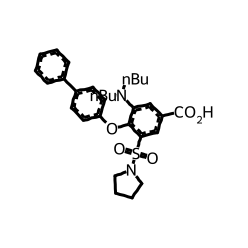 CCCCN(CCCC)c1cc(C(=O)O)cc(S(=O)(=O)N2CCCC2)c1Oc1ccc(-c2ccccc2)cc1